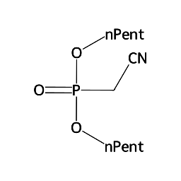 CCCCCOP(=O)(CC#N)OCCCCC